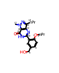 CCCOc1ccc(CO)cc1-c1nc2c(CCC)nn(C)c2c(=O)[nH]1